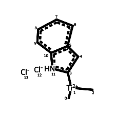 [CH3][Ti+2]([CH3])[c]1cc2ccccc2[nH]1.[Cl-].[Cl-]